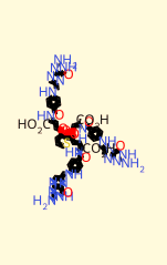 Nc1nc2ncc(CNc3ccc(C(=O)N[C@@H](CCC(=O)C4CCCSC4(C(=O)CC[C@H](NC(=O)c4ccc(NCc5cnc6nc(N)[nH]c(=O)c6n5)cc4)C(=O)O)C(=O)CC[C@H](NC(=O)c4ccc(NCc5cnc6nc(N)[nH]c(=O)c6n5)cc4)C(=O)O)C(=O)O)cc3)nc2c(=O)[nH]1